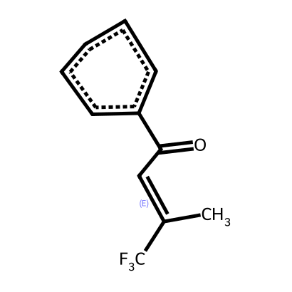 C/C(=C\C(=O)c1ccccc1)C(F)(F)F